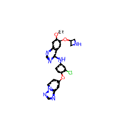 CCOc1cc2ncnc(Nc3ccc(Oc4ccn5ncnc5c4)c(Cl)c3)c2cc1OC1CNC1